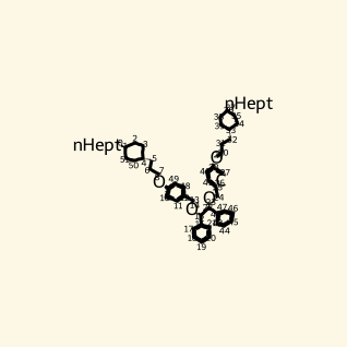 CCCCCCC[C@H]1CC[C@H](CCCOc2ccc(CO[C@H](c3ccccc3)[C@H](OCc3ccc(OCCC[C@H]4CC[C@H](CCCCCCC)CC4)cc3)c3ccccc3)cc2)CC1